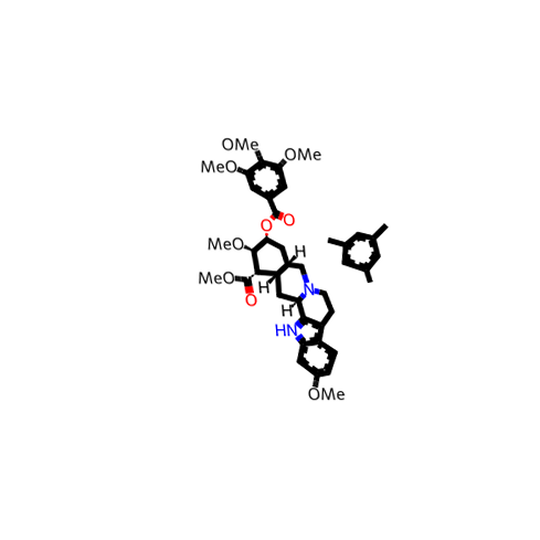 COC(=O)[C@H]1[C@H]2C[C@@H]3c4[nH]c5cc(OC)ccc5c4CCN3C[C@H]2C[C@@H](OC(=O)c2cc(OC)c(OC)c(OC)c2)[C@@H]1OC.Cc1cc(C)cc(C)c1